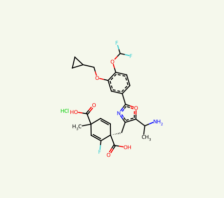 CC(N)c1oc(-c2ccc(OC(F)F)c(OCC3CC3)c2)nc1C[C@@]1(C(=O)O)C=CC(C)(C(=O)O)C=C1F.Cl